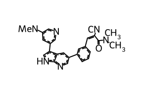 CNc1cncc(-c2c[nH]c3ncc(-c4cccc(C=C(C#N)C(=O)N(C)C)c4)cc23)c1